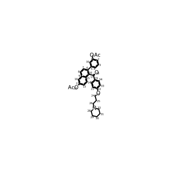 CC(=O)Oc1cccc(-c2ccc3cc(OC(C)=O)ccc3c2C(=O)c2ccc(OCCCN3CCCCC3)cc2)c1